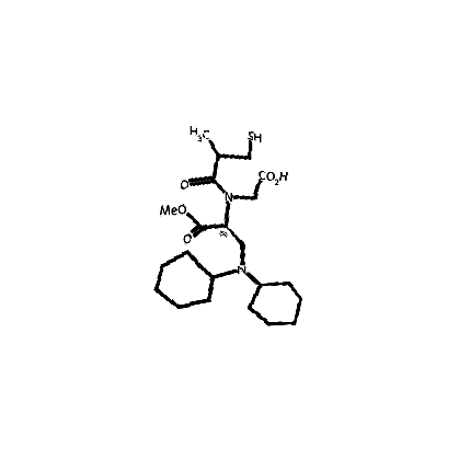 COC(=O)[C@H](CN(C1CCCCC1)C1CCCCC1)N(CC(=O)O)C(=O)C(C)CS